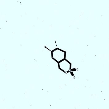 C[C@@H]1CC2CSS(=O)(=O)CC2C[C@H]1C